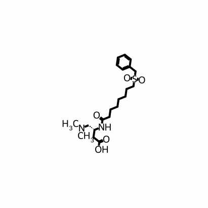 CN(C)C[C@@H](CC(=O)O)NC(=O)CCCCCCCS(=O)(=O)Cc1ccccc1